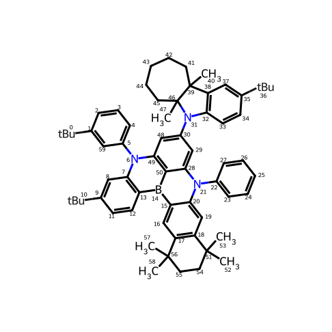 CC(C)(C)c1cccc(N2c3cc(C(C)(C)C)ccc3B3c4cc5c(cc4N(c4ccccc4)c4cc(N6c7ccc(C(C)(C)C)cc7C7(C)CCCCCC67C)cc2c43)C(C)(C)CCC5(C)C)c1